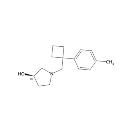 Cc1ccc(C2(CN3CC[C@@H](O)C3)CCC2)cc1